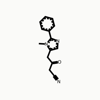 Cn1c(CC(=O)CC#N)cnc1-c1ccccc1